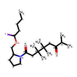 CCCCC(I)OCC1CCCN1C(=O)CC(C)(C)C(C)(C)CC(=O)C(C)C